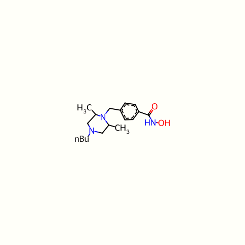 CCCCN1CC(C)N(Cc2ccc(C(=O)NO)cc2)C(C)C1